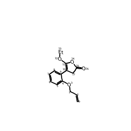 C=CCOc1ccccc1C1=C(OCC)OC(=O)C1